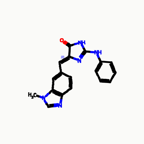 Cn1cnc2ccc(/C=C3\N=C(Nc4ccccc4)NC3=O)cc21